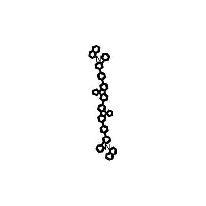 C1=c2ccccc2=C(n2c3ccccc3c3cc(-c4ccc(-c5ccc6c(c5)C5(CCCC5)c5cc(-c7ccc8c(c7)C7(CCCC7)c7cc(-c9ccc(-c%10ccc%11c(c%10)c%10ccccc%10n%11-c%10cccc%11ccccc%10%11)cc9)ccc7-8)ccc5-6)cc4)ccc32)CC1